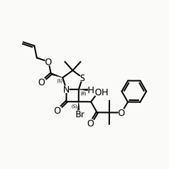 C=CCOC(=O)[C@@H]1N2C(=O)[C@@](Br)(C(O)C(=O)C(C)(C)Oc3ccccc3)[C@H]2SC1(C)C